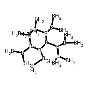 BB(B)B(B(B)B)B(B(B)B)B(B(B(B)B)B(B)B)B(B(B)B)B(B)B